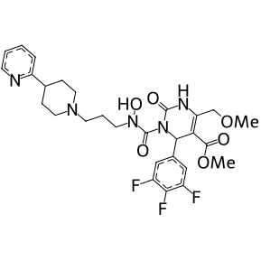 COCC1=C(C(=O)OC)C(c2cc(F)c(F)c(F)c2)N(C(=O)N(O)CCCN2CCC(c3ccccn3)CC2)C(=O)N1